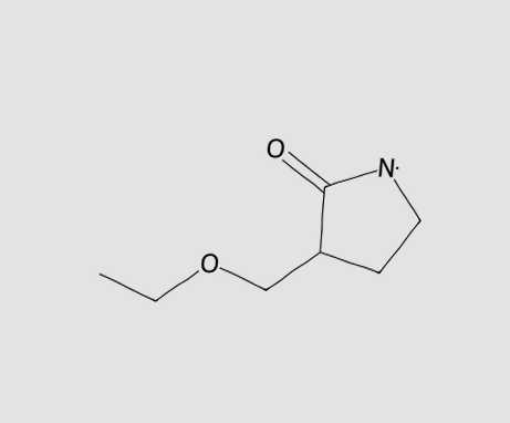 CCOCC1CC[N]C1=O